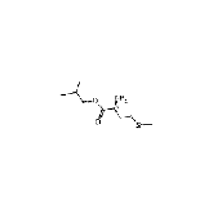 CSCC[C@H](N)C(=O)OCC(C)C